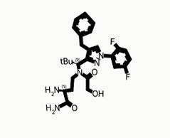 CC(C)(C)[C@H](c1nn(-c2cc(F)ccc2F)cc1Cc1ccccc1)N(CC[C@H](N)C(N)=O)C(=O)CO